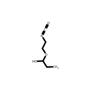 CCC(O)OCCN=C=O